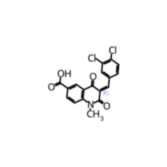 CN1C(=O)/C(=C/c2ccc(Cl)c(Cl)c2)C(=O)c2cc(C(=O)O)ccc21